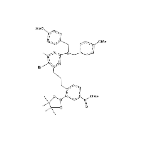 COC(=O)c1ccc(CCCc2nc(N(Cc3ccc(OC)cc3)Cc3ccc(OC)cc3)nc(C)c2Br)c(B2OC(C)(C)C(C)(C)O2)c1